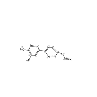 CCCCCCOc1cnc(-c2ccc(O)c(F)c2)nc1